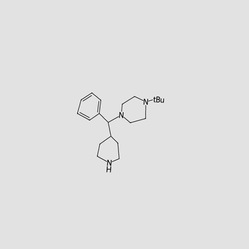 CC(C)(C)N1CCN(C(c2ccccc2)C2CCNCC2)CC1